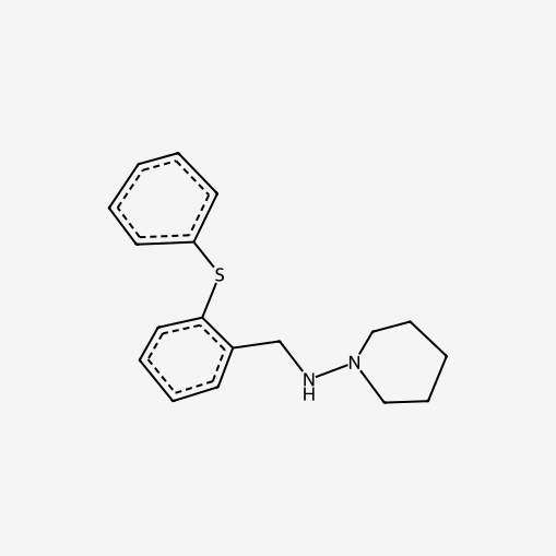 c1ccc(Sc2ccccc2CNN2CCCCC2)cc1